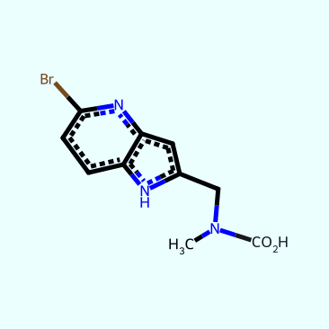 CN(Cc1cc2nc(Br)ccc2[nH]1)C(=O)O